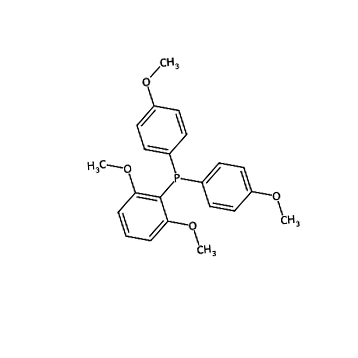 COc1ccc(P(c2ccc(OC)cc2)c2c(OC)cccc2OC)cc1